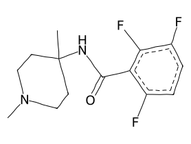 CN1CCC(C)(NC(=O)c2c(F)ccc(F)c2F)CC1